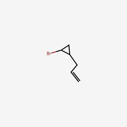 C=CCC1CC1Br